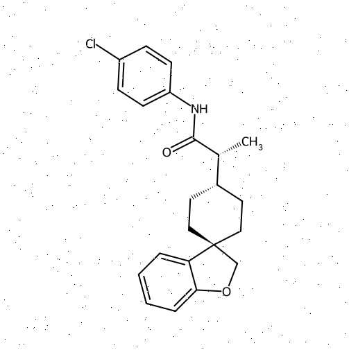 C[C@@H](C(=O)Nc1ccc(Cl)cc1)[C@H]1CC[C@@]2(CC1)COc1ccccc12